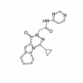 O=C(Cn1nc(C2CC2)n2c(cc3ccccc32)c1=O)Nc1ccncn1